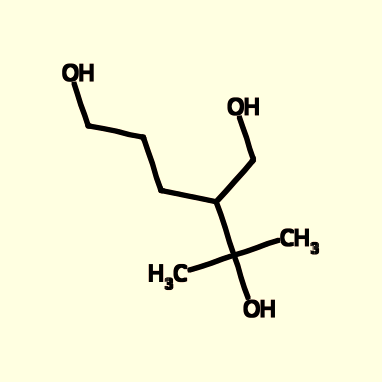 CC(C)(O)C(CO)CCCO